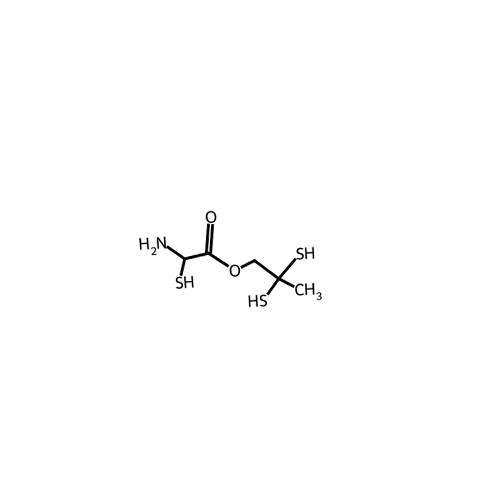 CC(S)(S)COC(=O)C(N)S